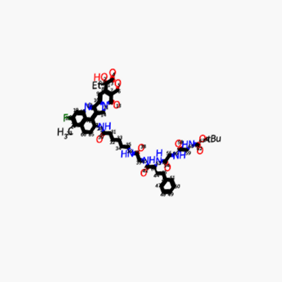 CC[C@@]1(O)C(=O)OCc2c1cc1n(c2=O)Cc2c-1nc1cc(F)c(C)c3c1c2[C@@H](NC(=O)CCCCCNC(=O)CNC(=O)[C@H](CCc1ccccc1)NC(=O)CNC(=O)CNC(=O)OC(C)(C)C)CC3